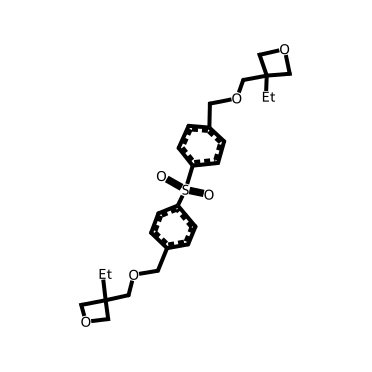 CCC1(COCc2ccc(S(=O)(=O)c3ccc(COCC4(CC)COC4)cc3)cc2)COC1